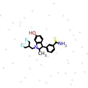 CC1C(c2cccc(C(N)=S)c2)c2ccc(O)cc2N1CC(CF)CF